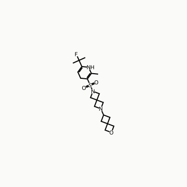 CC1=C(S(=O)(=O)N2CC3(CN(C4CC5(COC5)C4)C3)C2)CC=C(C(C)(C)F)N1